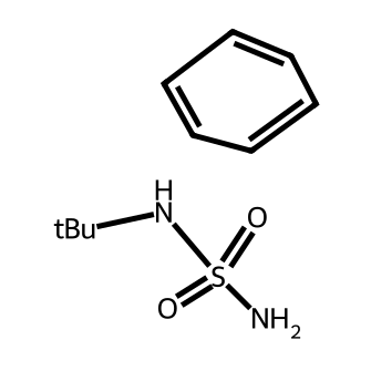 CC(C)(C)NS(N)(=O)=O.c1ccccc1